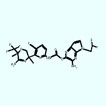 CC1(c2nc(NC(=O)Oc3nc4ccn(CC(F)F)c4nc3N)ccc2F)COC(C)(C(F)(F)F)C(N)=N1